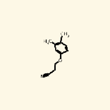 Cc1ccc(OCCC#N)cc1C